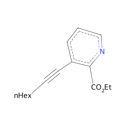 CCCCCCC#Cc1cccnc1C(=O)OCC